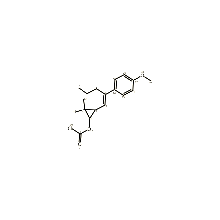 CCCC(=CC1C(OC(=O)Cl)C1(C)C)c1ccc(OC)cc1